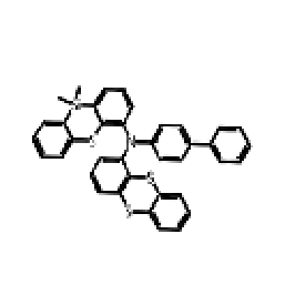 C[Si]1(C)c2ccccc2Sc2c(N(c3ccc(-c4ccccc4)cc3)c3cccc4c3Sc3ccccc3S4)cccc21